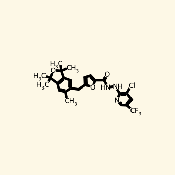 Cc1cc2c(cc1Cc1ccc(C(=O)NNc3ncc(C(F)(F)F)cc3Cl)o1)C(C)(C)OC2(C)C